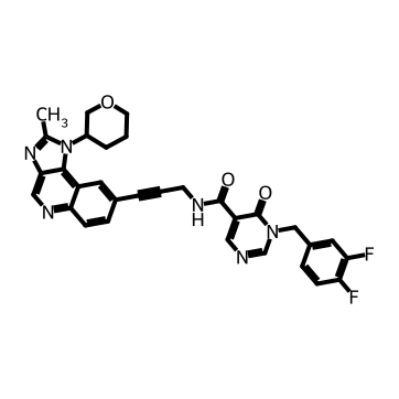 Cc1nc2cnc3ccc(C#CCNC(=O)c4cncn(Cc5ccc(F)c(F)c5)c4=O)cc3c2n1C1CCCOC1